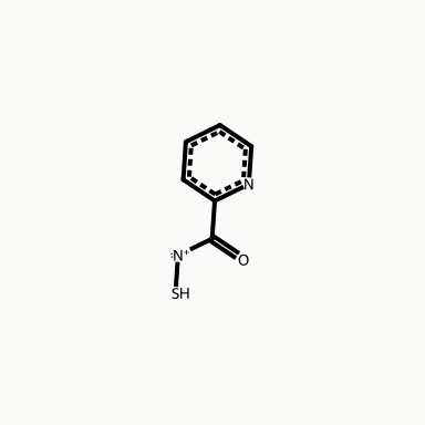 O=C([N+]S)c1ccccn1